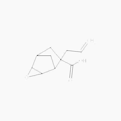 C=CCC1(C(=O)O)CC2CC1C1OC21